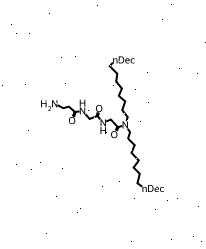 CCCCCCCCCCCCCCCCCCN(CCCCCCCCCCCCCCCCCC)C(=O)CNC(=O)CNC(=O)CCN